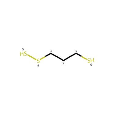 SCCCSS